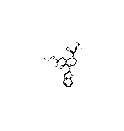 C=CC(=O)N1CCN(c2cn3ccccc3n2)C(=O)C1CC(=O)OC